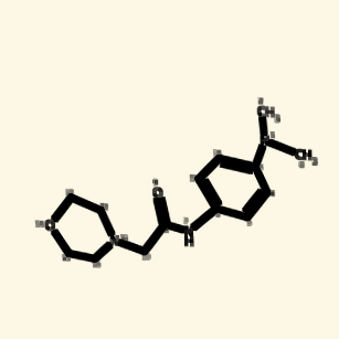 CN(C)c1ccc(NC(=O)CN2CCOCC2)cc1